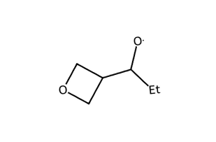 CCC([O])C1COC1